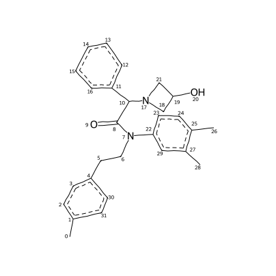 Cc1ccc(CCN(C(=O)C(c2ccccc2)N2CC(O)C2)c2ccc(C)c(C)c2)cc1